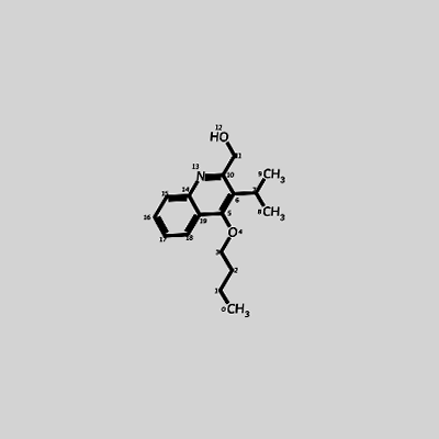 CCCCOc1c(C(C)C)c(CO)nc2ccccc12